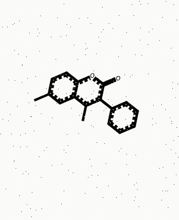 Cc1ccc2oc(=O)c(-c3ccccc3)c(C)c2c1